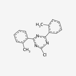 Cc1ccccc1-c1nc(Cl)nc(-c2ccccc2C)n1